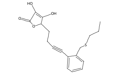 CCCSCc1ccccc1C#CCCC1OC(=O)C(O)=C1O